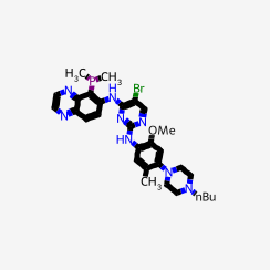 CCCCN1CCN(c2cc(OC)c(Nc3ncc(Br)c(Nc4ccc5nccnc5c4P(C)C)n3)cc2C)CC1